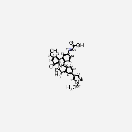 CCc1ccc(N2C(C)Cc3cc(-c4cnn(CC)c4)ccc3C2c2ccc(/C=C/C(=O)O)cc2)c(Cl)c1